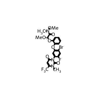 CO[C@@H](Oc1ccccc1Oc1cc(-n2c(=O)cc(C(F)(F)F)n(C)c2=O)c(F)cc1Br)C(=O)N(C)OC